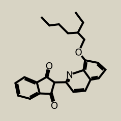 CCCCC(CC)COc1cccc2ccc(C3C(=O)c4ccccc4C3=O)nc12